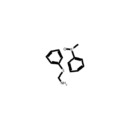 C[S+]([O-])c1ccccc1.NCSc1ccccc1